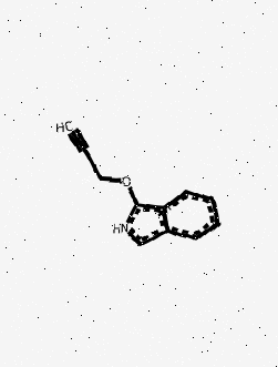 C#CCOc1[nH]cc2ccccc12